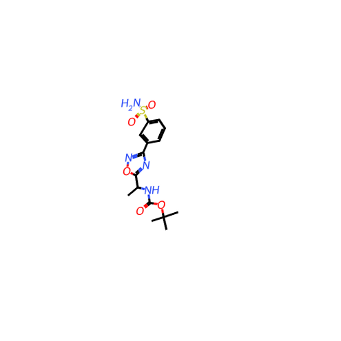 CC(NC(=O)OC(C)(C)C)c1nc(-c2cccc(S(N)(=O)=O)c2)no1